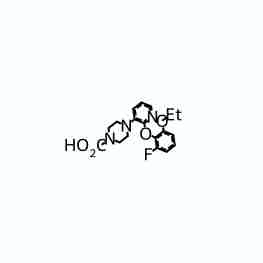 CCOc1cccc(F)c1Oc1ncccc1N1CCN(C(=O)O)CC1